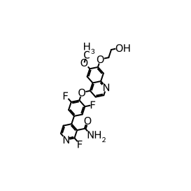 COc1cc2c(Oc3c(F)cc(-c4ccnc(F)c4C(N)=O)cc3F)ccnc2cc1OCCO